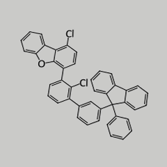 Clc1c(-c2cccc(C3(c4ccccc4)c4ccccc4-c4ccccc43)c2)cccc1-c1ccc(Cl)c2c1oc1ccccc12